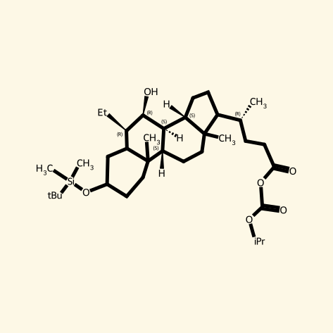 CC[C@@H]1C2CC(O[Si](C)(C)C(C)(C)C)CCC2(C)[C@H]2CCC3(C)C([C@H](C)CCC(=O)OC(=O)OC(C)C)CC[C@H]3[C@@H]2[C@@H]1O